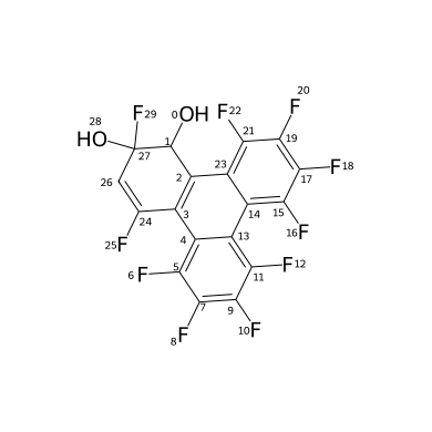 OC1c2c(c3c(F)c(F)c(F)c(F)c3c3c(F)c(F)c(F)c(F)c23)C(F)=CC1(O)F